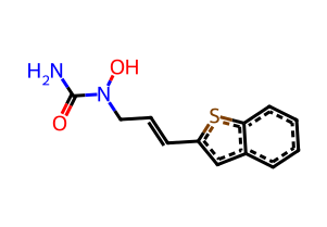 NC(=O)N(O)C/C=C/c1cc2ccccc2s1